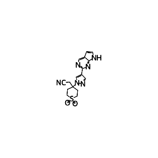 N#CCC1(n2cc(-c3ncc4cc[nH]c4n3)cn2)CCS(=O)(=O)CC1